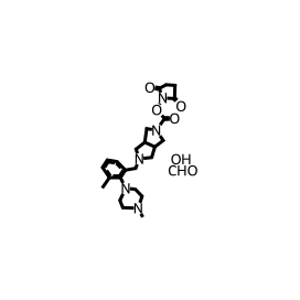 Cc1cccc(CN2CC3CN(C(=O)ON4C(=O)CCC4=O)CC3C2)c1N1CCN(C)CC1.O=CO